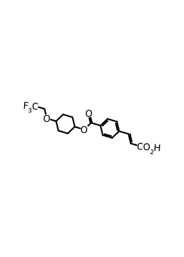 O=C(O)C=Cc1ccc(C(=O)OC2CCC(OCC(F)(F)F)CC2)cc1